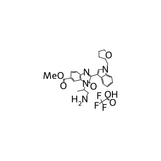 COC(=O)c1ccc2nc(-c3cn(CC4CCCO4)c4ccccc34)c(=O)n(C(C)CN)c2c1.O=C(O)C(F)(F)F